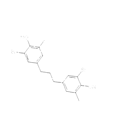 Cc1cc(CCCc2cc(C)c(O)c(Br)c2)cc(Br)c1O